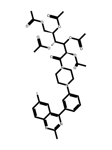 CC(=O)OC[C@@H](OC(C)=O)[C@@H](OC(C)=O)C(OC(C)=O)[C@@H](OC(C)=O)C(=O)N1CCN(c2cccc(-c3nc(C)nc4ccc(I)cc34)c2)CC1